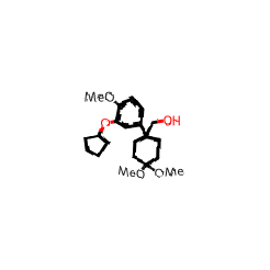 COc1ccc(C2(CO)CCC(OC)(OC)CC2)cc1OC1CCCC1